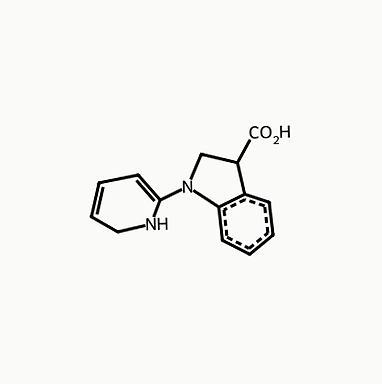 O=C(O)C1CN(C2=CC=CCN2)c2ccccc21